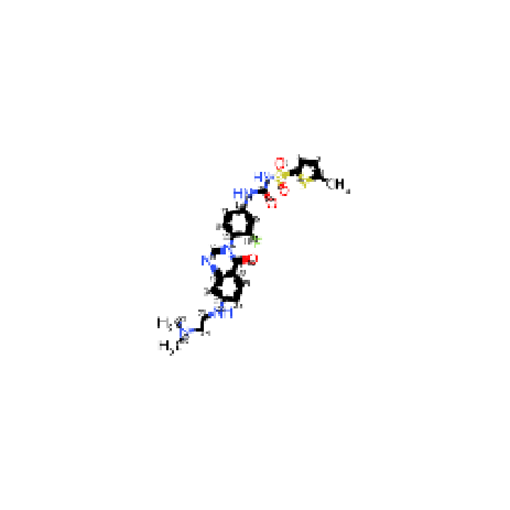 Cc1ccc(S(=O)(=O)NC(=O)Nc2ccc(-n3cnc4cc(NCCN(C)C)ccc4c3=O)c(F)c2)s1